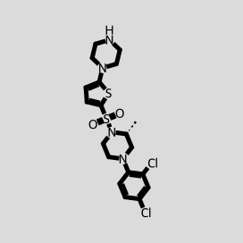 C[C@@H]1CN(c2ccc(Cl)cc2Cl)CCN1S(=O)(=O)c1ccc(N2CCNCC2)s1